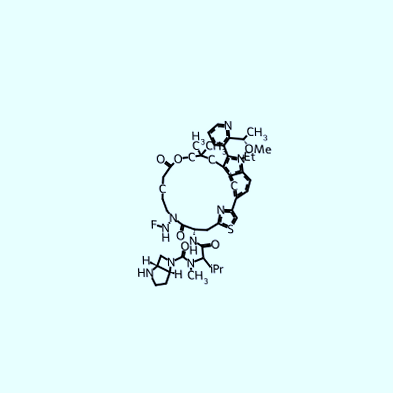 CCn1c(-c2cccnc2[C@H](C)OC)c2c3cc(ccc31)-c1csc(n1)C[C@H](NC(=O)C(C(C)C)N(C)C(=O)N1C[C@H]3NCC[C@H]31)C(=O)N(NF)CCCCC(=O)OCC(C)(C)C2